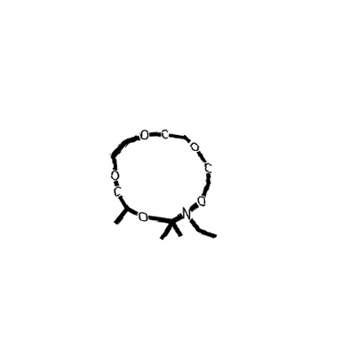 CCN1OCCOCCOCCOCC(C)OC1(C)C